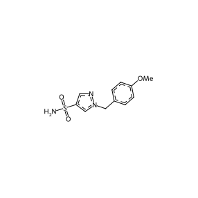 COc1ccc(Cn2cc(S(N)(=O)=O)cn2)cc1